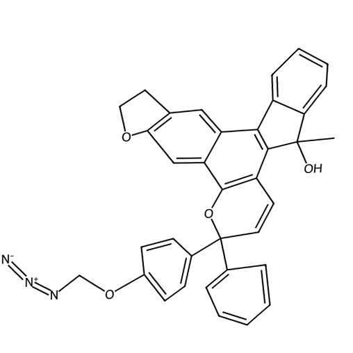 CC1(O)c2ccccc2-c2c1c1c(c3cc4c(cc23)CCO4)OC(c2ccccc2)(c2ccc(OCN=[N+]=[N-])cc2)C=C1